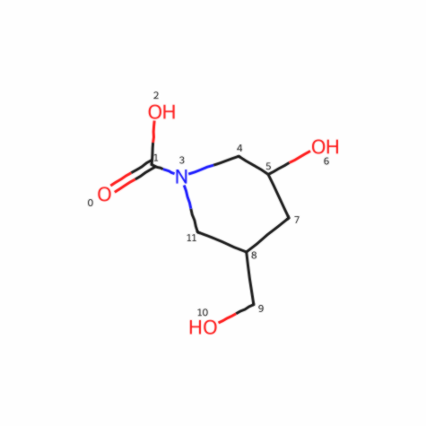 O=C(O)N1CC(O)CC(CO)C1